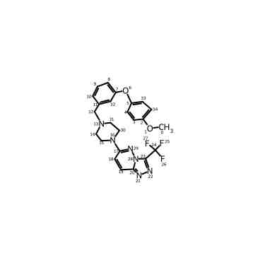 COc1ccc(Oc2cccc(CN3CCN(c4ccc5nnc(C(F)(F)F)n5n4)CC3)c2)cc1